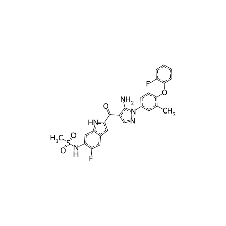 Cc1cc(-n2ncc(C(=O)c3cc4cc(F)c(NS(C)(=O)=O)cc4[nH]3)c2N)ccc1Oc1ccccc1F